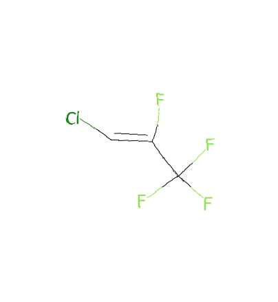 FC(=CCl)C(F)(F)F